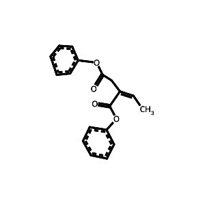 CC=C(CC(=O)Oc1ccccc1)C(=O)Oc1ccccc1